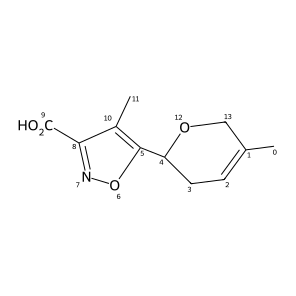 CC1=CCC(c2onc(C(=O)O)c2C)OC1